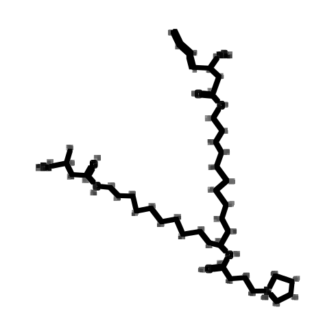 C=C=C=CC(CCCC)CC(=O)OCCCCCCCCCCC(CCCCCCCCCCOC(=O)CC(C)CCCC)OC(=O)CCCN1CCCC1